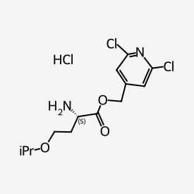 CC(C)OCC[C@H](N)C(=O)OCc1cc(Cl)nc(Cl)c1.Cl